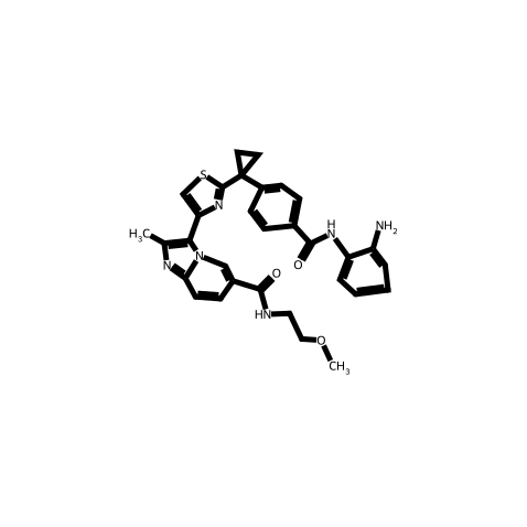 COCCNC(=O)c1ccc2nc(C)c(-c3csc(C4(c5ccc(C(=O)Nc6ccccc6N)cc5)CC4)n3)n2c1